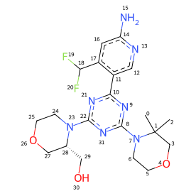 CC1(C)COCCN1c1nc(-c2cnc(N)cc2C(F)F)nc(N2CCOC[C@H]2CO)n1